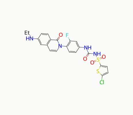 CCNc1ccc2c(=O)n(-c3ccc(NC(=O)NS(=O)(=O)c4ccc(Cl)s4)cc3F)ccc2c1